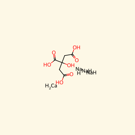 O=C(O)CC(O)(CC(=O)O)C(=O)O.[CaH2].[NaH].[NaH].[NaH]